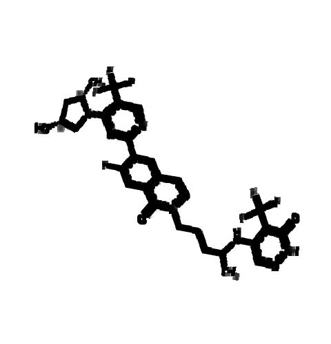 CC(CCCn1ccc2cc(-c3ncc(C(F)(F)F)c(N4C[C@H](O)C[C@@H]4C)n3)c(F)cc2c1=O)Nc1cn[nH]c(=O)c1C(F)(F)F